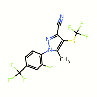 Cc1c(SC(F)(F)F)c(C#N)nn1-c1ccc(C(F)(F)F)cc1F